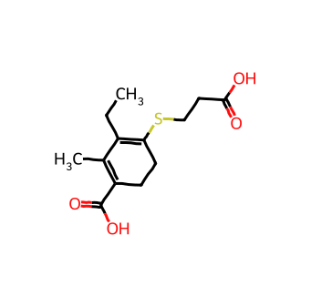 CCC1=C(SCCC(=O)O)CCC(C(=O)O)=C1C